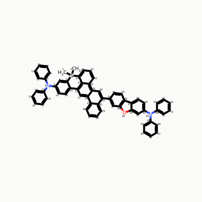 C[Si]1(C)c2cc(N(c3ccccc3)c3ccccc3)ccc2-c2cc3c4ccccc4c(-c4ccc5c(c4)oc4cc(N(c6ccccc6)c6ccccc6)ccc45)cc3c3cccc1c23